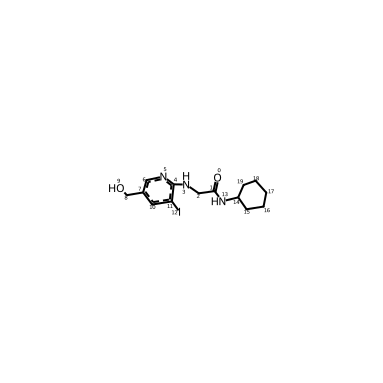 O=C(CNc1ncc(CO)cc1I)NC1CCCCC1